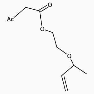 C=CC(C)OCCOC(=O)CC(C)=O